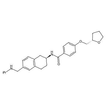 CC(C)NCc1ccc2c(c1)CC[C@H](NC(=O)c1ccc(OC[C@@H]3CCCO3)cc1)C2